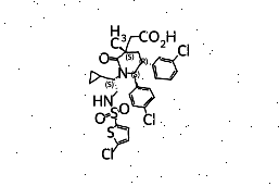 C[C@@]1(CC(=O)O)C[C@H](c2cccc(Cl)c2)[C@@H](c2ccc(Cl)cc2)N([C@H](CNS(=O)(=O)c2ccc(Cl)s2)C2CC2)C1=O